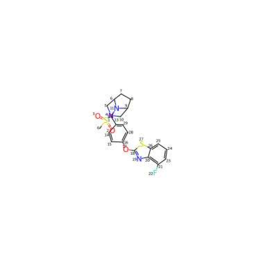 CS(=O)(=O)N1CC2CCC(C1)N2Cc1ccc(Oc2nc3c(F)cccc3s2)cc1